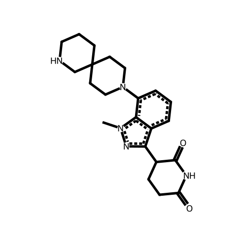 Cn1nc(C2CCC(=O)NC2=O)c2cccc(N3CCC4(CCCNC4)CC3)c21